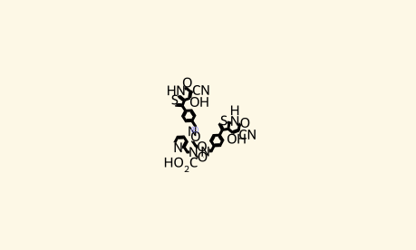 N#CC1=C(O)C2C(c3ccc(C=NOC(C(=O)O)N(Cc4ccccn4)C(=O)CO/N=C/c4ccc(-c5csc6[nH]c(=O)c(C#N)c(O)c56)cc4)cc3)=CSC2NC1=O